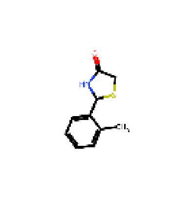 Cc1ccccc1C1NC(=O)CS1